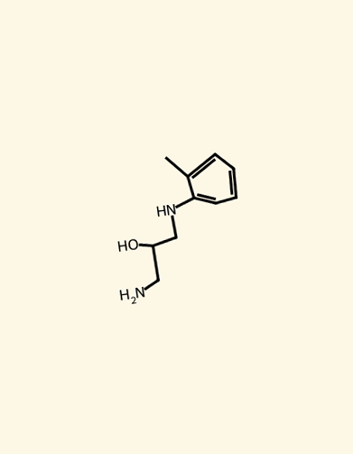 Cc1ccccc1NCC(O)CN